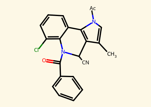 CC(=O)n1cc(C)c2c1-c1cccc(Cl)c1N(C(=O)c1ccccc1)C2C#N